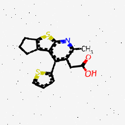 Cc1nc2sc3c(c2c(-c2cccs2)c1CC(=O)O)CCC3